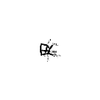 CC1(C)C2C[C@H](C(=O)O)[C@H](N)[C@@H]1C2